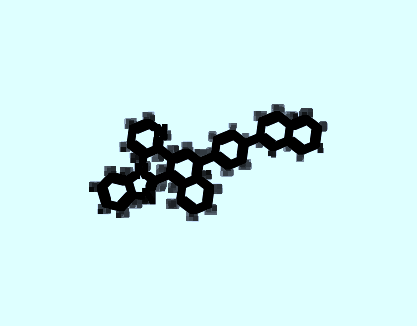 c1ccc2cc(-c3ccc(-c4cc5c6ncccc6n6c7ccccc7nc6c5c5ccccc45)cc3)ccc2c1